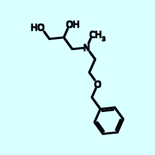 CN(CCOCc1ccccc1)CC(O)CO